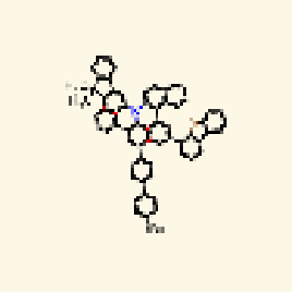 CC(C)(C)c1ccc(-c2ccc(-c3ccc(N(c4ccc5c(c4)-c4ccccc4C5(C)C)c4ccc5ccccc5c4-c4cccc(-c5cccc6c5sc5ccccc56)c4)c(-c4ccccc4)c3)cc2)cc1